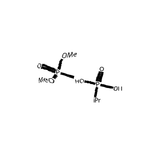 CC(C)P(=O)(O)O.COP(C)(=O)OC